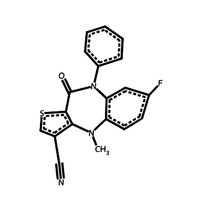 CN1c2ccc(F)cc2N(c2ccccc2)C(=O)c2scc(C#N)c21